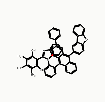 Bc1c(B)c(B)c(-c2nc3ccccc3n2-c2ccccc2-c2c3ccccc3c(-c3ccc4oc5ccccc5c4c3)c3cc(-c4ccccc4)ccc23)c(O)c1B